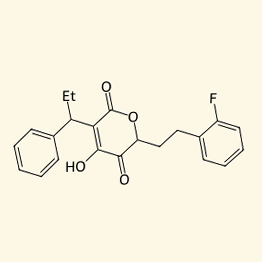 CCC(C1=C(O)C(=O)C(CCc2ccccc2F)OC1=O)c1ccccc1